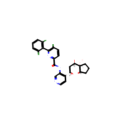 O=C(Nc1cnccc1[C@H]1C[C@@H](O)[C@@]2(O)CCC[C@H]2O1)c1ccc(F)c(-c2c(F)cccc2F)n1